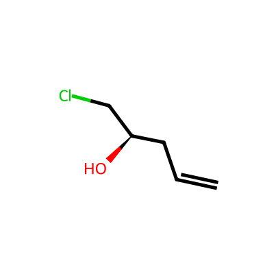 C=CC[C@@H](O)CCl